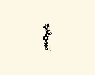 Cc1cn2cc(-c3cc4ccc(N5CC6(CC(N)C6)C5)cc4oc3=O)nc2c(C)n1